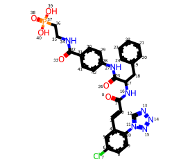 O=C(C=Cc1cc(Cl)ccc1-n1cnnn1)NC(Cc1ccccc1)C(=O)Nc1ccc(C(=O)NCCP(=O)(O)O)cc1